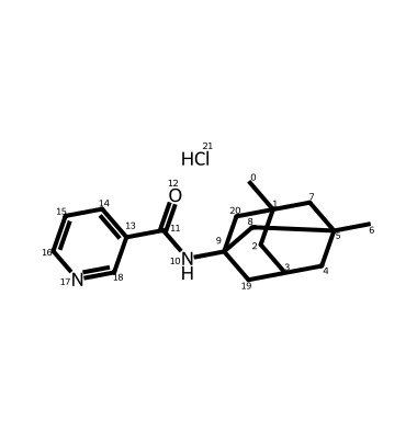 CC12CC3CC(C)(C1)CC(NC(=O)c1cccnc1)(C3)C2.Cl